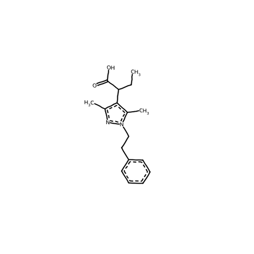 CCC(C(=O)O)c1c(C)nn(CCc2ccccc2)c1C